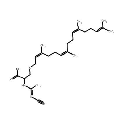 CC(C)=CCCC(C)=CCCC(C)=CCCC(C)=CCSCC(N/C(C)=N/C#N)C(=O)O